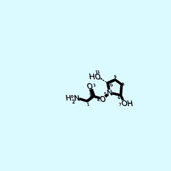 NCC(=O)ON1C(O)CC[C@H]1O